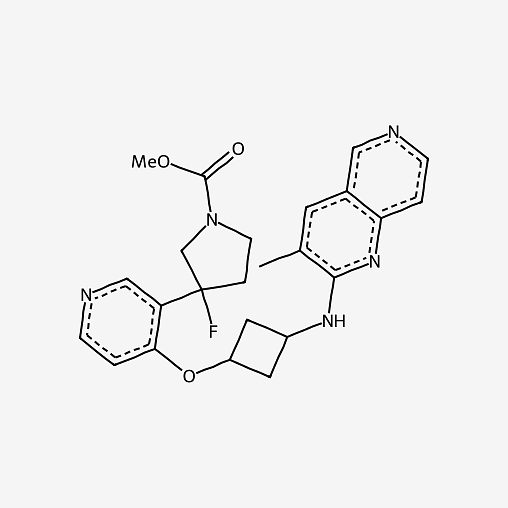 COC(=O)N1CCC(F)(c2cnccc2OC2CC(Nc3nc4ccncc4cc3C)C2)C1